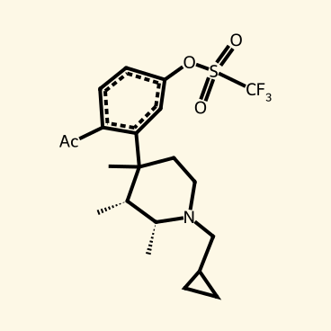 CC(=O)c1ccc(OS(=O)(=O)C(F)(F)F)cc1C1(C)CCN(CC2CC2)[C@H](C)[C@@H]1C